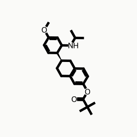 COC1=CC(NC(C)C)C([C@@H]2CCc3cc(OC(=O)C(C)(C)C)ccc3C2)C=C1